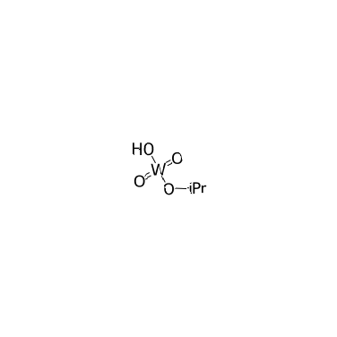 CC(C)[O][W](=[O])(=[O])[OH]